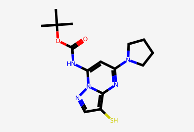 CC(C)(C)OC(=O)Nc1cc(N2CCCC2)nc2c(S)cnn12